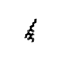 C=CCC=CC(=O)OC(CC)=C(C)C(=O)OC